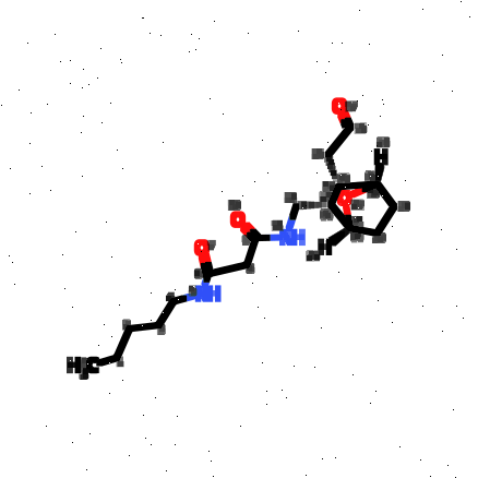 CCCCCNC(=O)CC(=O)NC[C@@H]1[C@H](CC=O)[C@@H]2CC[C@H]1O2